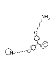 NCCCCCCOc1ccc(C(=C2C3CC4CC(C3)CC2C4)c2ccc(OCCCCCCN3CCCCCC3)cc2)cc1